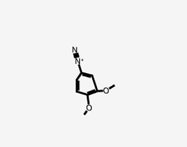 COc1ccc([N+]#N)cc1OC